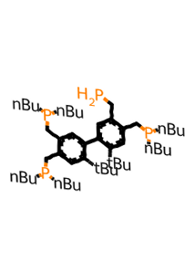 CCCCP(CCCC)Cc1cc(C(C)(C)C)c(-c2cc(CP(CCCC)CCCC)c(CP(CCCC)CCCC)cc2C(C)(C)C)cc1CP